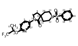 CC(Oc1ccc(N2CCC3(CCN(S(=O)(=O)c4ccccc4)CC3)C2=O)cn1)C(F)(F)F